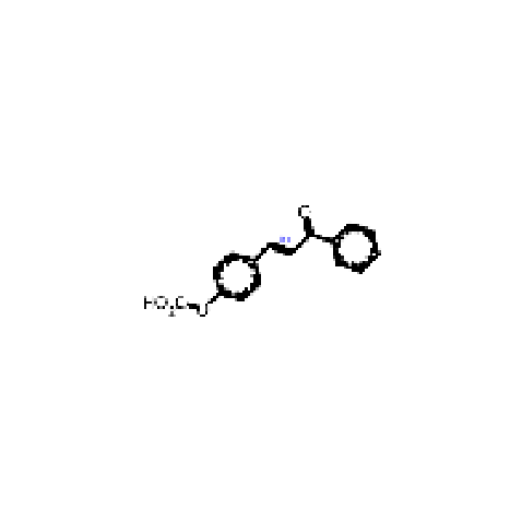 O=C(O)Oc1ccc(/C=C/C(=O)c2ccccc2)cc1